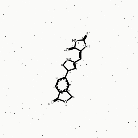 O=C1NC(=S)N/C1=C/C1=CC(c2ccc3c(c2)COC3=O)CS1